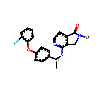 CCN1Cc2c(ccnc2N[C@@H](C)c2ccc(Oc3ccccc3F)cc2)C1=O